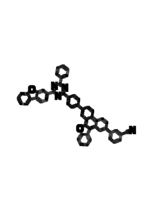 N#Cc1cccc(-c2ccc3c4ccc(-c5ccc(-c6nc(-c7ccccc7)nc(-c7ccc8c(c7)oc7ccccc78)n6)cc5)cc4c4oc5ccccc5c4c3c2)c1